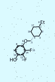 CC[C@H]1CC[C@H](COc2ccc(O)c(F)c2F)CC1